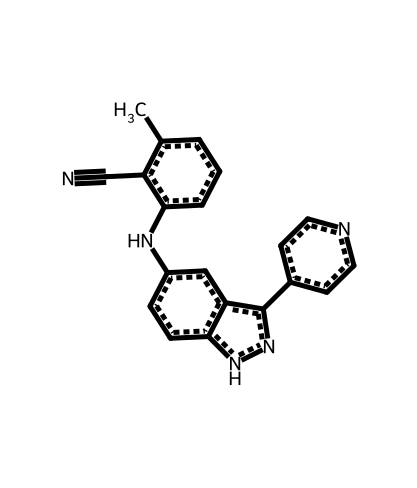 Cc1cccc(Nc2ccc3[nH]nc(-c4ccncc4)c3c2)c1C#N